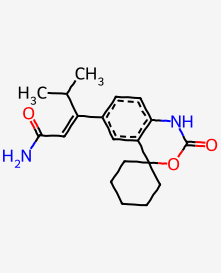 CC(C)C(=CC(N)=O)c1ccc2c(c1)C1(CCCCC1)OC(=O)N2